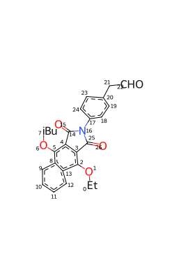 CCOc1c2c(c(OC(C)CC)c3ccccc13)C(=O)N(c1ccc(CC=O)cc1)C2=O